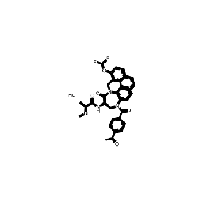 CNC(C)C(=O)NC1CN(C(=O)c2ccc(C(C)=O)cc2)c2ccccc2N(Cc2c(OC(F)F)ccc3ccccc23)C1=O.Cl